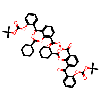 CC(C)(C)OC(=O)Oc1ccccc1C(=O)c1cccc(C(=O)OOC(=O)c2cccc(C(=O)c3ccccc3OC(=O)OC(C)(C)C)c2OC(=O)C2CCCCC2)c1OC(=O)C1CCCCC1